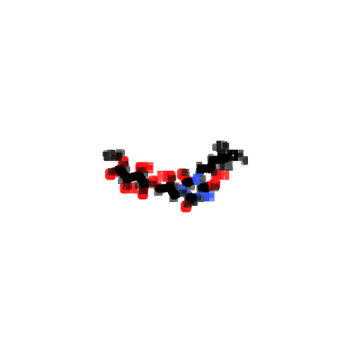 CCC(C)(CC)CC(O)Cn1c(=O)[nH]c(=O)n(CC(O)COC(=O)C(O)C(O)C(=O)OC(C)(C)C)c1=O